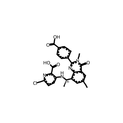 Cc1cc([C@@H](C)Nc2ccc(Cl)nc2C(=O)O)c2nc(-c3ccc(C(=O)O)cc3)n(C)c(=O)c2c1